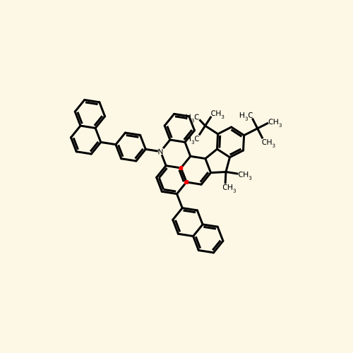 CC(C)(C)c1cc(C(C)(C)C)c2c(c1)C(C)(C)C1=CCCC(c3ccccc3N(C3=C=C=C(c4ccc5ccccc5c4)C=C3)c3ccc(-c4cccc5ccccc45)cc3)C12